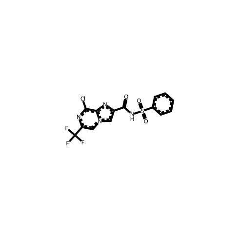 O=C(NS(=O)(=O)c1ccccc1)c1cn2cc(C(F)(F)F)nc(Cl)c2n1